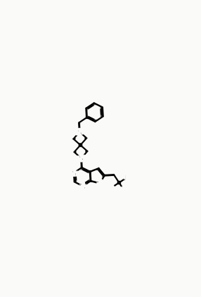 FC(F)(F)Cc1cc2c(N3CC4(CN(Cc5ccccc5)C4)C3)ncnc2s1